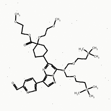 COCCOC(=O)C1(OCCOC)CCC(c2cc(N(COCC[Si](C)(C)C)COCC[Si](C)(C)C)n3ncc(-c4ccc(C=O)nc4)c3n2)CC1